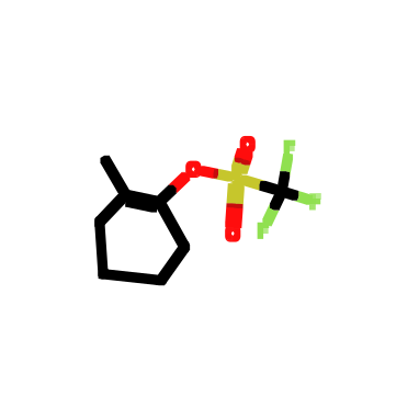 CC1=C(OS(=O)(=O)C(F)(F)F)CCCC1